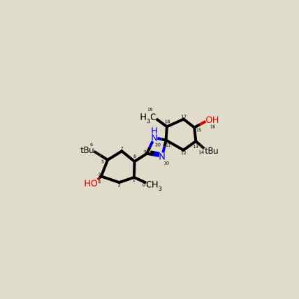 CC1CC(O)C(C(C)(C)C)CC1C1=NC2(CC(C(C)(C)C)C(O)CC2C)N1